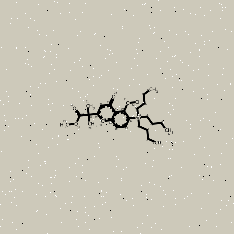 CCC[CH2][Sn]([CH2]CCC)([CH2]CCC)[c]1ccc2oc(C(C)(C)C(=O)OC)cc(=O)c2c1OC